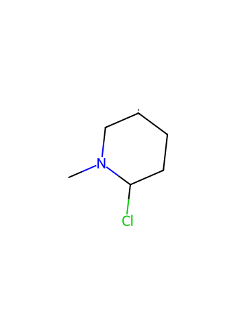 CN1C[CH]CCC1Cl